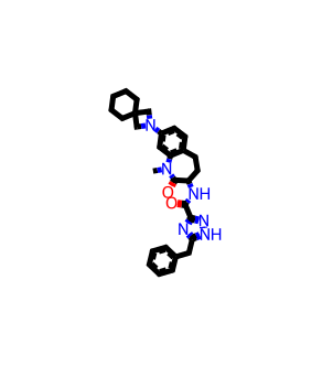 CN1C(=O)C(NC(=O)c2n[nH]c(Cc3ccccc3)n2)CCc2ccc(N3CC4(CCCCC4)C3)cc21